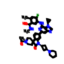 CNC(O)c1cc(Nc2nc(-c3ccc4c(c3)N([C@H]3C[C@@H](N5CCCCC5)C3)C(=O)C43CCN(C(C)=O)CC3)cc3ncn(C4CC4)c23)c(F)cc1C